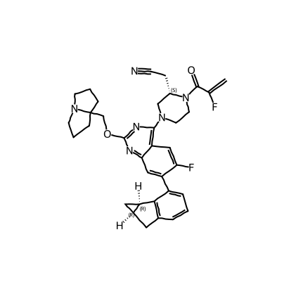 C=C(F)C(=O)N1CCN(c2nc(OCC34CCCN3CCC4)nc3cc(-c4cccc5c4[C@@H]4C[C@@H]4C5)c(F)cc23)C[C@@H]1CC#N